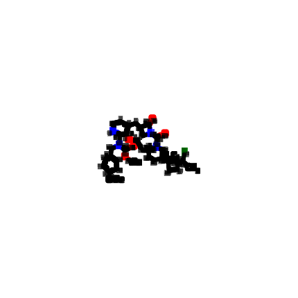 CNC(=O)[C@@H]1[C@@H](Cc2ccnc(N(Cc3ccc(OC)cc3)C(=O)OC(C)(C)C)c2)C(=O)N1C(=O)N1CCCC(C2C=C[C@@]2(C)[C@H](C)F)C1